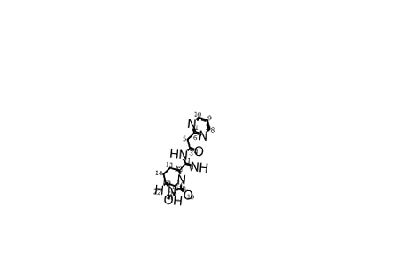 N=C(NC(=O)Cc1ncccn1)[C@@H]1CC[C@@H]2CN1C(=O)N2O